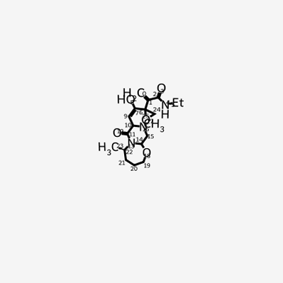 C=C(C(=O)NCC)C1(/C(O)=C\C2C(=O)N3C(CN2C)OCCC[C@H]3C)CO1